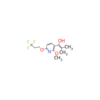 COc1nc(OCCC(F)(F)F)ccc1C(O)=C(C)C